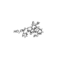 Cc1ccnc(C(C)C)c1Nc1cc(Br)c(F)cc1C(=O)N1CCN(C(=O)O)CC1C